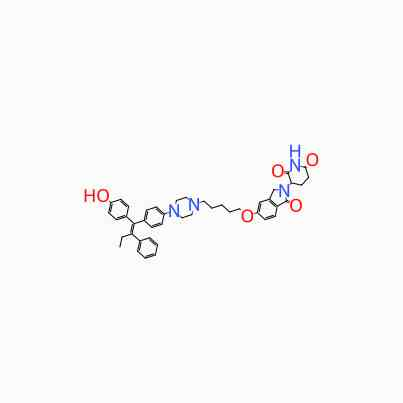 CCC(=C(c1ccc(O)cc1)c1ccc(N2CCN(CCCCCOc3ccc4c(c3)CN(C3CCC(=O)NC3=O)C4=O)CC2)cc1)c1ccccc1